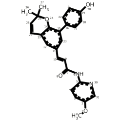 COc1ccc(NC(=O)/C=C/c2cc3c(c(-c4ccc(O)cc4)c2)OC(C)(C)C=C3)nc1